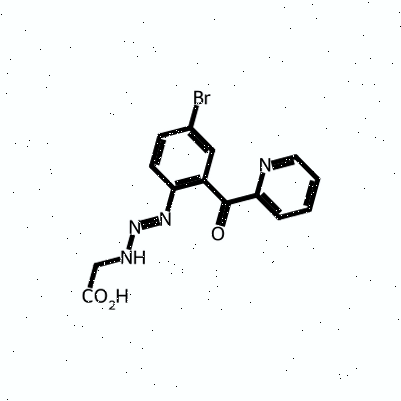 O=C(O)CNN=Nc1ccc(Br)cc1C(=O)c1ccccn1